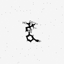 N#Cc1cccc(N2C=CC(C(=O)O)(C(F)(F)F)N2)c1